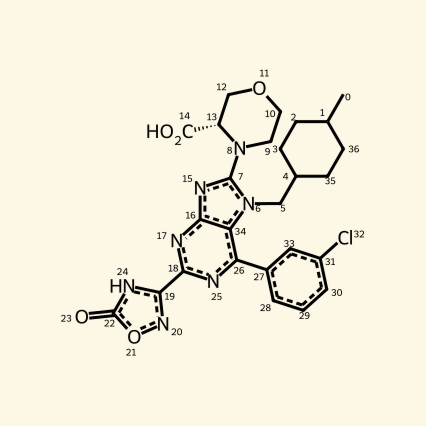 CC1CCC(Cn2c(N3CCOC[C@H]3C(=O)O)nc3nc(-c4noc(=O)[nH]4)nc(-c4cccc(Cl)c4)c32)CC1